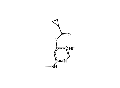 CNc1cc(NC(=O)C2CC2)ncn1.Cl